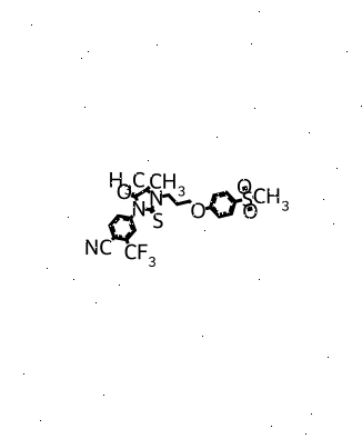 CC1(C)C(=O)N(c2ccc(C#N)c(C(F)(F)F)c2)C(=S)N1CCCOc1ccc(S(C)(=O)=O)cc1